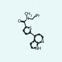 CC(C)CN(C)C(=O)c1ccc(-c2ccnc3[nH]ccc23)s1